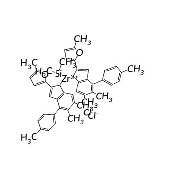 Cc1ccc(-c2c(C)c(C)cc3c2C=C(c2ccc(C)o2)[CH]3[Zr+2]([CH]2C(c3ccc(C)o3)=Cc3c2cc(C)c(C)c3-c2ccc(C)cc2)=[Si](C)C)cc1.[Cl-].[Cl-]